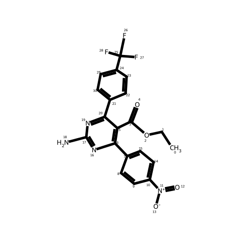 CCOC(=O)c1c(-c2ccc([N+](=O)[O-])cc2)nc(N)nc1-c1ccc(C(F)(F)F)cc1